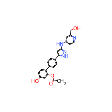 CC(=O)Oc1cc(O)ccc1-c1ccc(-c2cc(Nc3ccnc(CO)c3)n[nH]2)cc1